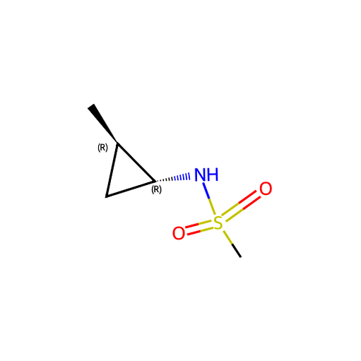 C[C@@H]1C[C@H]1NS(C)(=O)=O